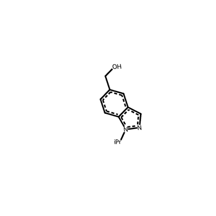 CC(C)n1ncc2cc(CO)ccc21